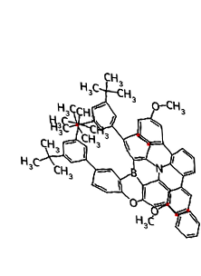 COc1cccc(-c2cccc(-c3cccc(OC)c3)c2N2c3ccc(-c4cc(C(C)(C)C)cc(C(C)(C)C)c4)cc3B3c4cc(-c5cc(C(C)(C)C)cc(C(C)(C)C)c5)ccc4Oc4cc(-c5ccccc5)cc2c43)c1